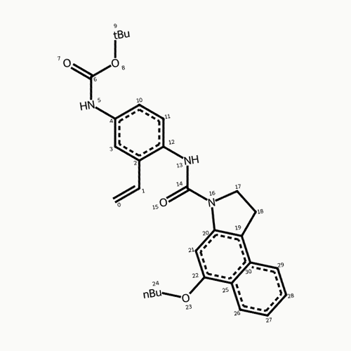 C=Cc1cc(NC(=O)OC(C)(C)C)ccc1NC(=O)N1CCc2c1cc(OCCCC)c1ccccc21